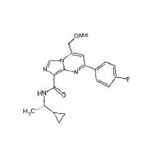 COCc1cc(-c2ccc(F)cc2)nc2c(C(=O)N[C@@H](C)C3CC3)ncn12